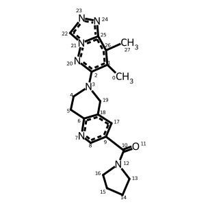 Cc1c(N2CCc3ncc(C(=O)N4CCCC4)cc3C2)nn2cnnc2c1C